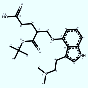 CN(C)CCc1c[nH]c2cccc(OCC(CCC(=O)O)C(=O)OC(C)(C)C)c12